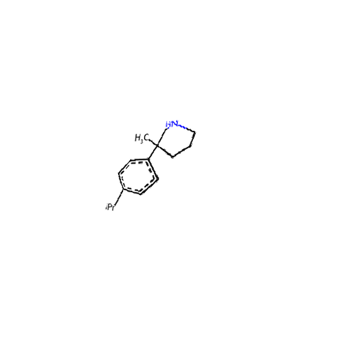 CC(C)c1ccc(C2(C)CCCNC2)cc1